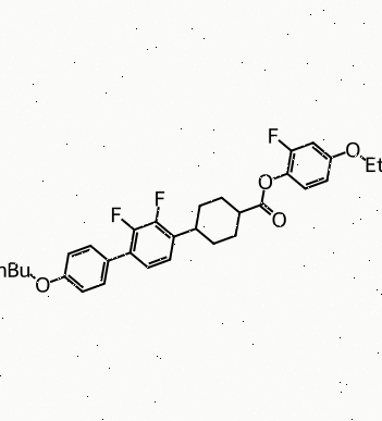 CCCCOc1ccc(-c2ccc(C3CCC(C(=O)Oc4ccc(OCC)cc4F)CC3)c(F)c2F)cc1